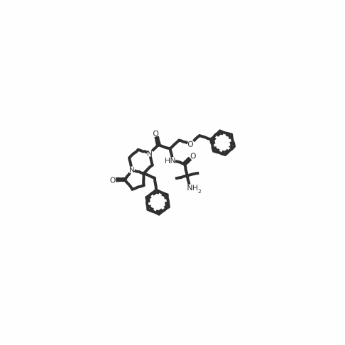 CC(C)(N)C(=O)NC(COCc1ccccc1)C(=O)N1CCN2C(=O)CCC2(Cc2ccccc2)C1